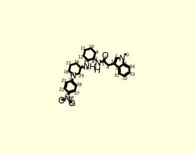 Cn1cc(CC(=O)N[C@@H]2CCCC[C@H]2NC2CCCN(c3ccc([N+](=O)[O-])cc3)C2)c2ccccc21